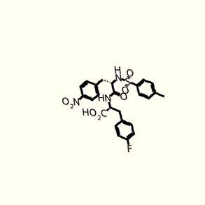 Cc1ccc(S(=O)(=O)N[C@@H](Cc2ccc([N+](=O)[O-])cc2)C(=O)N[C@@H](Cc2ccc(F)cc2)C(=O)O)cc1